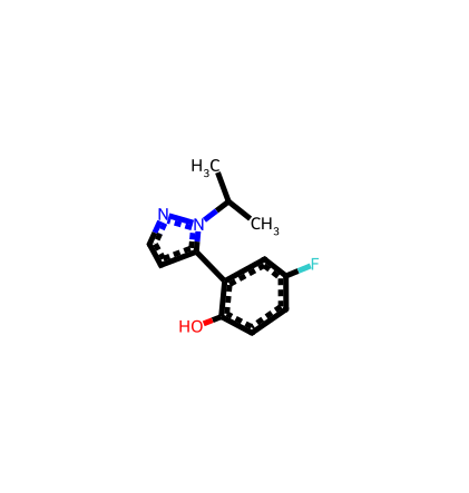 CC(C)n1nccc1-c1cc(F)ccc1O